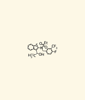 CCS(=O)(=O)N(Cc1ccc(F)c(C(F)(F)F)c1)c1sc2ccccc2c1C([11CH3])O